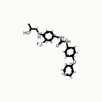 CC(O)CNc1ccc(NC(=O)Nc2ccc(Oc3ccncc3)cc2)cc1C(F)(F)F